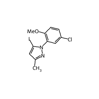 COc1ccc(Cl)cc1-n1nc(C)cc1I